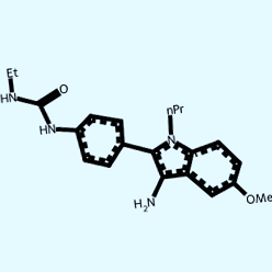 CCCn1c(-c2ccc(NC(=O)NCC)cc2)c(N)c2cc(OC)ccc21